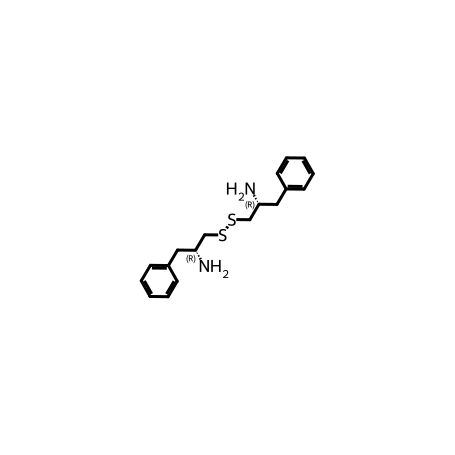 N[C@@H](CSSC[C@H](N)Cc1ccccc1)Cc1ccccc1